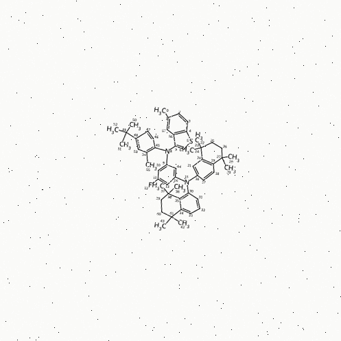 Cc1ccc2scc(N(c3cc(F)cc(N(c4ccc5c(c4)C(C)(C)CCC5(C)C)c4cccc5c4C(C)(C)CCC5(C)C)c3)c3ccc(C(C)(C)C)cc3C)c2c1